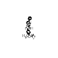 CC(C)(C)c1ccc(C(=O)Nc2cn3nc(-c4ccccc4)ccc3n2)cc1